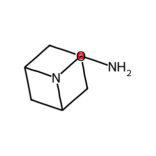 NCN1C2COCC1C2